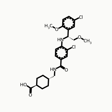 COC[C@H](Nc1ccc(C(=O)NC[C@H]2CC[C@H](C(=O)O)CC2)cc1Cl)c1cc(Cl)ccc1OC